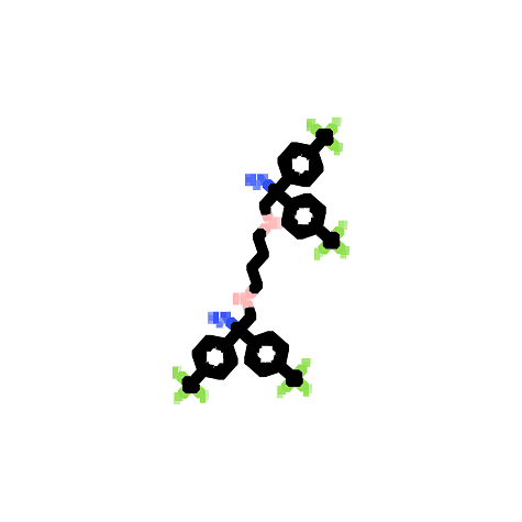 NC(CBCCCCBCC(N)(c1ccc(C(F)(F)F)cc1)c1ccc(C(F)(F)F)cc1)(c1ccc(C(F)(F)F)cc1)c1ccc(C(F)(F)F)cc1